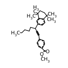 CCCCCC(C#Cc1ccc(C(=O)OC)cc1)c1ccc2c(c1)C(C)(C)CCC2(C)C